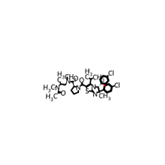 CC(=O)N(C)[C@@H](C)CN(C)C(=O)[C@@H]1CCCN1C(=O)C1=C(C(C)C)N2C(=N[C@@](C)(c3ccc(Cl)cc3)[C@H]2c2ccc(Cl)cc2)S1